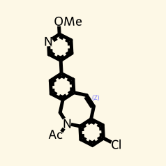 COc1ccc(-c2ccc3c(c2)/C=C\c2cc(Cl)ccc2N(C(C)=O)C3)cn1